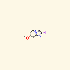 COc1ccn2cc(I)nc2c1